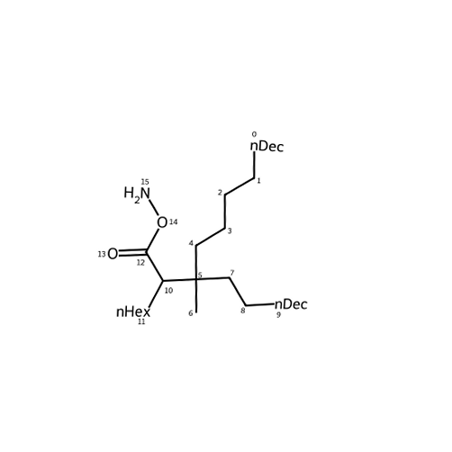 CCCCCCCCCCCCCCC(C)(CCCCCCCCCCCC)C(CCCCCC)C(=O)ON